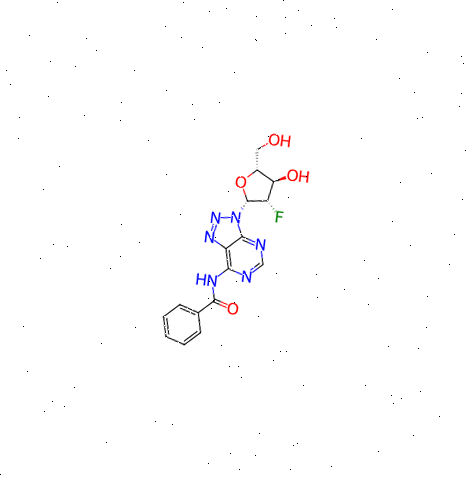 O=C(Nc1ncnc2c1nnn2[C@@H]1O[C@H](CO)[C@@H](O)[C@@H]1F)c1ccccc1